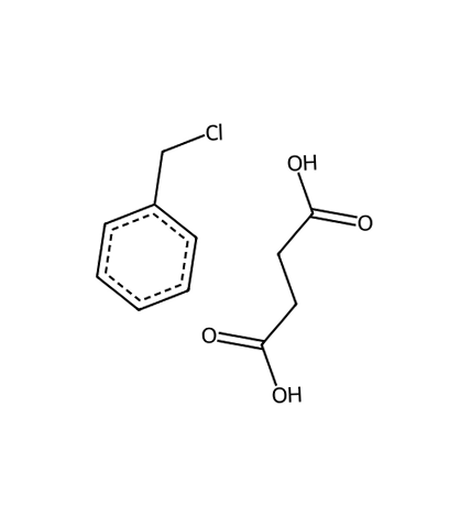 ClCc1ccccc1.O=C(O)CCC(=O)O